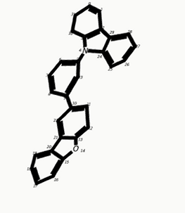 C1=Cc2c(n(-c3cccc(-c4ccc5oc6ccccc6c5c4)c3)c3ccccc23)CC1